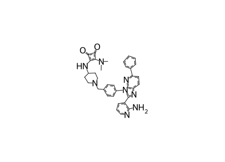 CN(C)c1c(NC2CCN(Cc3ccc(-n4c(-c5cccnc5N)nc5ccc(-c6ccccc6)nc54)cc3)CC2)c(=O)c1=O